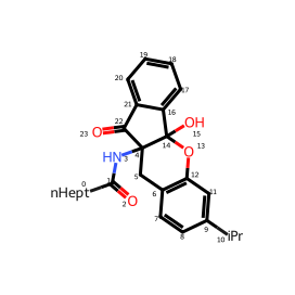 CCCCCCCC(=O)NC12Cc3ccc(C(C)C)cc3OC1(O)c1ccccc1C2=O